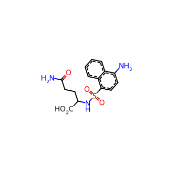 NC(=O)CCC(NS(=O)(=O)c1ccc(N)c2ccccc12)C(=O)O